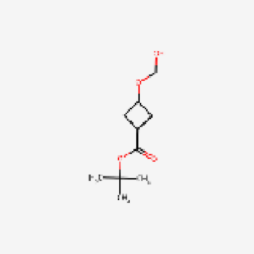 CC(C)(C)OC(=O)C1CC(OCO)C1